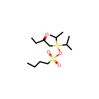 CCCCS(=O)(=O)OS(CC(=O)CC)(C(C)C)C(C)C